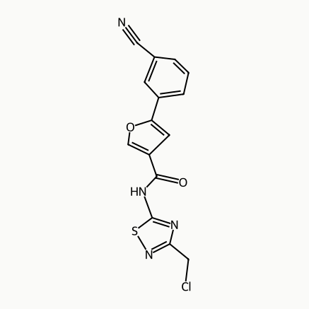 N#Cc1cccc(-c2cc(C(=O)Nc3nc(CCl)ns3)co2)c1